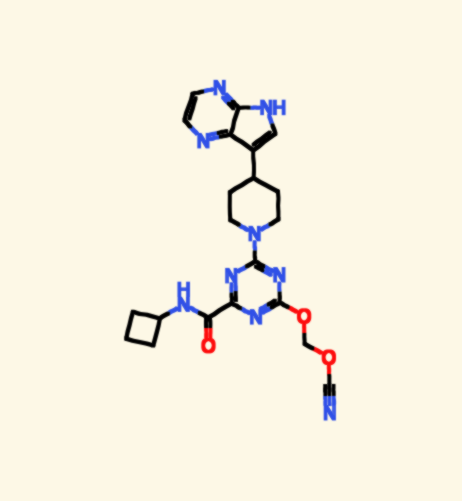 N#COCOc1nc(C(=O)NC2CCC2)nc(N2CCC(c3c[nH]c4nccnc34)CC2)n1